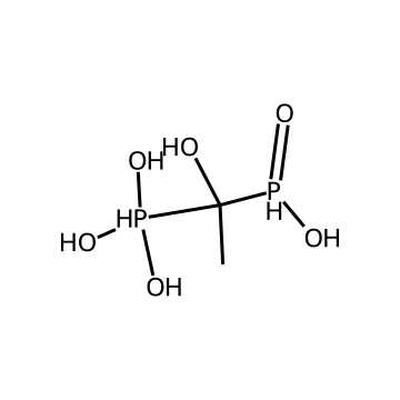 CC(O)([PH](=O)O)[PH](O)(O)O